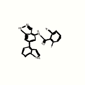 O=C(Nc1cc(-c2cccc3[nH]ccc23)cc2[nH]ncc12)c1c(F)cccc1F